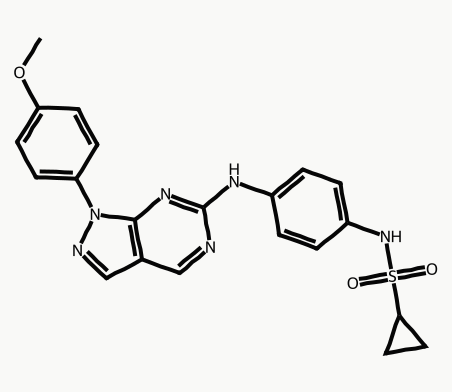 COc1ccc(-n2ncc3cnc(Nc4ccc(NS(=O)(=O)C5CC5)cc4)nc32)cc1